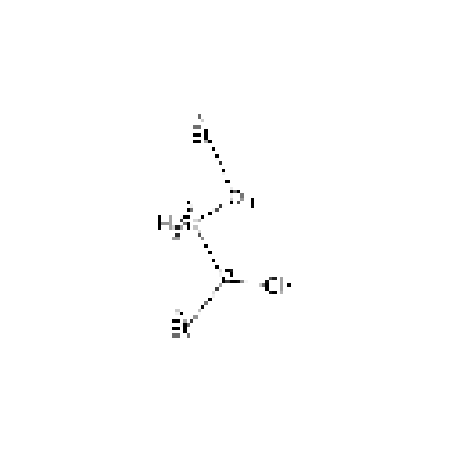 CCO[SiH2]C(Cl)CC